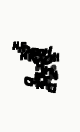 COC(=O)N[C@H]1C[C@@H](n2cnc3c(Cl)nc(Cl)nc32)[C@H](O)[C@@H]1O